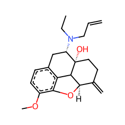 C=CCN(CC)[C@H]1Cc2ccc(OC)c3c2C2[C@H](O3)C(=C)CC[C@@]21O